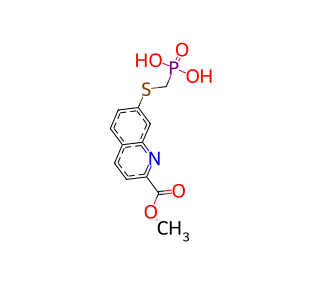 COC(=O)c1ccc2ccc(SCP(=O)(O)O)cc2n1